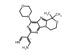 CC1(C)OCCn2c1nc1c(N3CCOCC3)nc(/C(C=N)=C/N)nc12